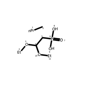 CCCC.CCOC(CP(=O)(O)O)OCC